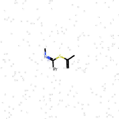 C=C(C)S/C(=N\C)C(C)C